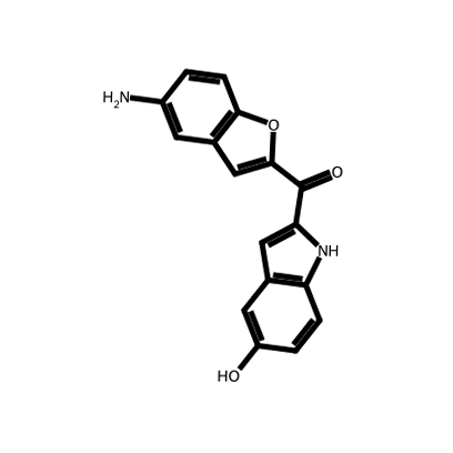 Nc1ccc2oc(C(=O)c3cc4cc(O)ccc4[nH]3)cc2c1